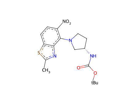 Cc1nc2c(N3CC[C@H](NC(=O)OC(C)(C)C)C3)c([N+](=O)[O-])ccc2s1